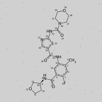 Cc1cc(F)c(C(=O)N[C@H]2CCOC2)cc1NC(=O)c1cnc(NC(=O)N2CCOCC2)s1